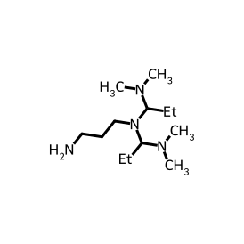 CCC(N(C)C)N(CCCN)C(CC)N(C)C